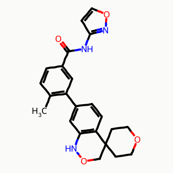 Cc1ccc(C(=O)Nc2ccon2)cc1-c1ccc2c(c1)NOCC21CCOCC1